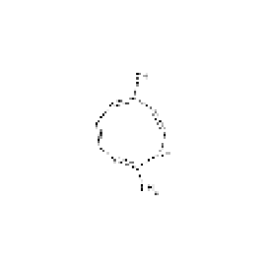 Cc1cccnc(C)[nH]cc1